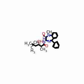 C[C@@H](C(=O)N[C@H]1N=C(c2ccccc2)c2ccccc2N(C)[C@@H]1C=O)[C@@H](O)CC(C)(C)C